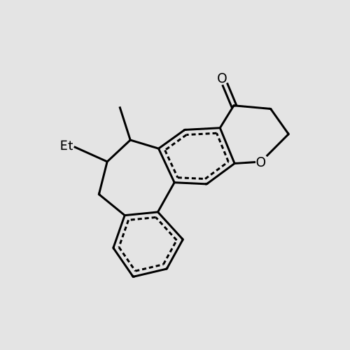 CCC1Cc2ccccc2-c2cc3c(cc2C1C)C(=O)CCO3